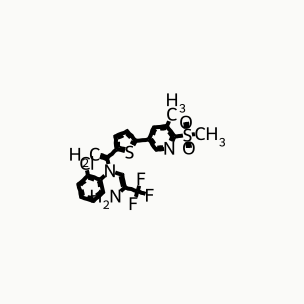 C=C(c1ccc(-c2cnc(S(C)(=O)=O)c(C)c2)s1)N(/C=C(\N)C(F)(F)F)c1ccccc1Cl